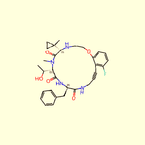 CC(O)[C@H]1C(=O)N[C@H](Cc2ccccc2)C(=O)NCC#Cc2c(F)cccc2OCCN[C@@H](C2(C)CC2)C(=O)N1C